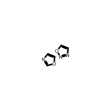 [c]1cnco1.c1conn1